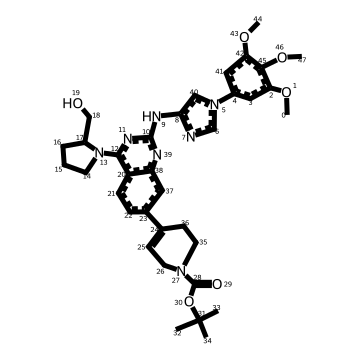 COc1cc(-n2cnc(Nc3nc(N4CCCC4CO)c4ccc(C5=CCN(C(=O)OC(C)(C)C)CC5)cc4n3)c2)cc(OC)c1OC